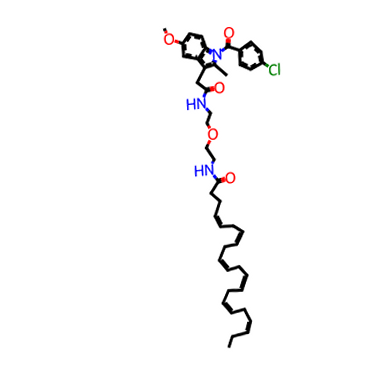 CC/C=C\C/C=C\C/C=C\C/C=C\C/C=C\C/C=C\CCC(=O)NCCOCCNC(=O)Cc1c(C)n(C(=O)c2ccc(Cl)cc2)c2ccc(OC)cc12